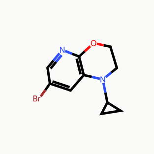 Brc1cnc2c(c1)N(C1CC1)CCO2